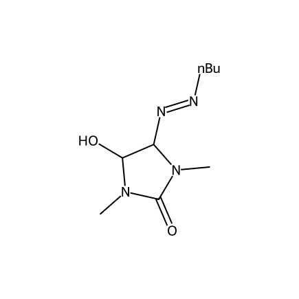 CCCCN=NC1C(O)N(C)C(=O)N1C